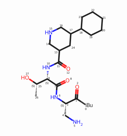 CCC(C)C(=O)[C@H](CN)NC(=O)[C@@H](NC(=O)C1CNCC(C2CCCCC2)C1)[C@H](C)O